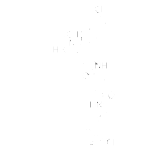 CN(C)C1(Cc2cccc(Cl)c2)CCC(NC(=O)CCC(=O)NCc2ccc(F)c(Cl)c2)CC1